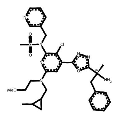 COCCN(CC1CC1C)c1cc(-c2nnc([C@](C)(N)Cc3ccccc3)o2)c(Cl)c(N(Cc2cccnc2)S(C)(=O)=O)n1